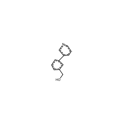 OCc1cccc(-c2c[c]cnc2)c1